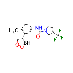 Cc1ccc(NC(=O)N2CC=C(C(F)(F)F)C2)cc1C1BOOC1